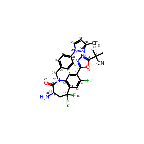 CC(C)(C#N)c1nnc(-c2cc3c(cc2F)C(F)(F)C[C@@H](N)C(=O)N3Cc2ccc(-n3ccc(C(F)(F)F)n3)cc2)o1